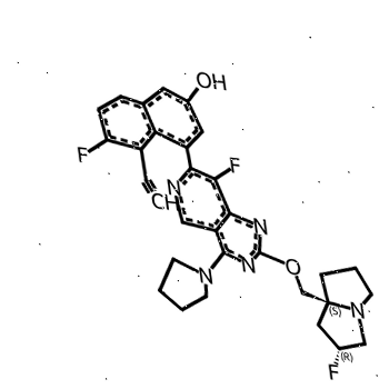 C#Cc1c(F)ccc2cc(O)cc(-c3ncc4c(N5CCCC5)nc(OC[C@@]56CCCN5C[C@H](F)C6)nc4c3F)c12